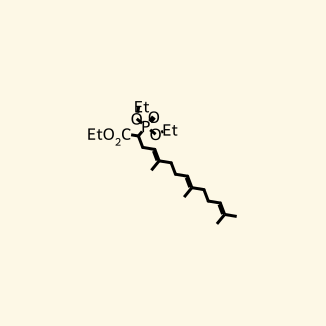 CCOC(=O)C(C/C=C(\C)CC/C=C(\C)CCC=C(C)C)P(=O)(OCC)OCC